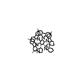 Cc1ccc2c(c1)c1ccccc1n2-c1c(-c2cccnc2)c(-c2nc3ccccc3o2)c(-n2c3ccccc3c3cc(C)ccc32)c(-n2c3ccccc3c3cc(C)ccc32)c1-n1c2ccccc2c2cc(C)ccc21